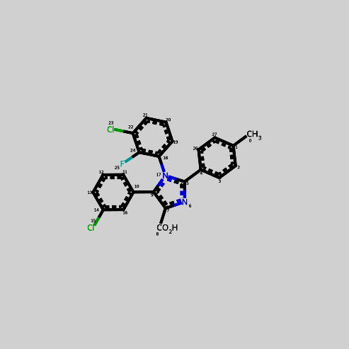 Cc1ccc(-c2nc(C(=O)O)c(-c3cccc(Cl)c3)n2-c2cccc(Cl)c2F)cc1